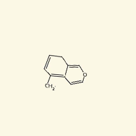 [CH2]C1=C2C=COC=C2CC=C1